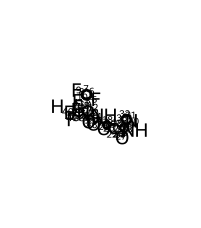 C[C@@H]1[C@H](c2c(F)ccc(F)c2F)C[C@H](NC(=O)c2cc3c(o2)CC[C@@]2(C3)C(=O)Nc3ncccc32)C(=O)N1CC(F)(F)F